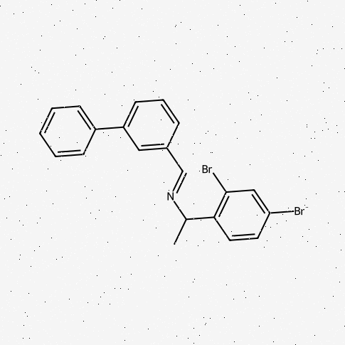 CC(N=Cc1cccc(-c2ccccc2)c1)c1ccc(Br)cc1Br